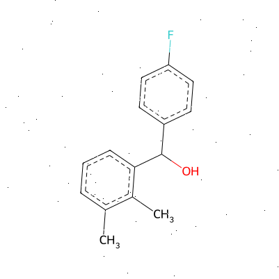 Cc1cccc(C(O)c2ccc(F)cc2)c1C